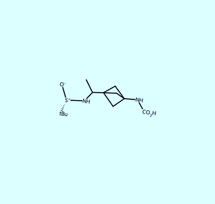 CC(N[S@@+]([O-])C(C)(C)C)C12CC(NC(=O)O)(C1)C2